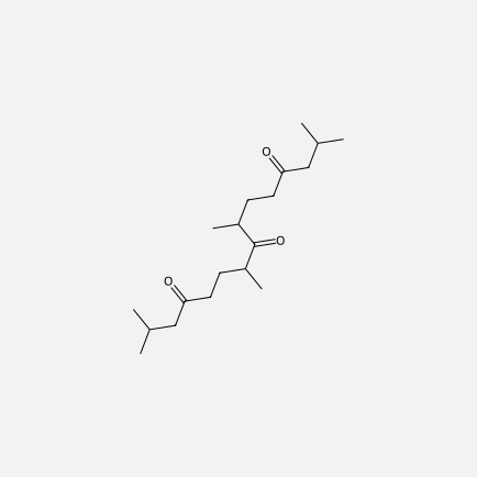 CC(C)CC(=O)CCC(C)C(=O)C(C)CCC(=O)CC(C)C